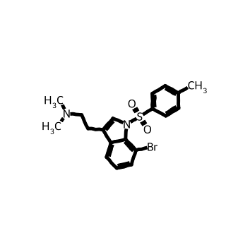 Cc1ccc(S(=O)(=O)n2cc(CCN(C)C)c3cccc(Br)c32)cc1